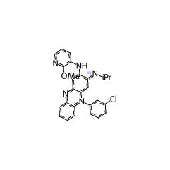 COc1ncccc1Nc1cc2nc3ccccc3n(-c3cccc(Cl)c3)c-2c/c1=N\C(C)C